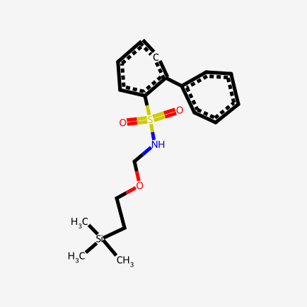 C[Si](C)(C)CCOCNS(=O)(=O)c1ccccc1-c1ccccc1